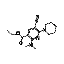 CCOC(=O)c1cc(C#N)c(N2CCCCC2)nc1N(C)C